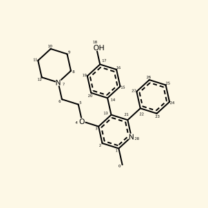 Cc1cc(OCCN2CCCCC2)c(-c2ccc(O)cc2)c(-c2ccccc2)n1